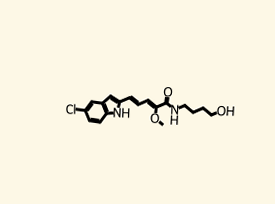 COC(=CC=Cc1cc2cc(Cl)ccc2[nH]1)C(=O)NCCCCO